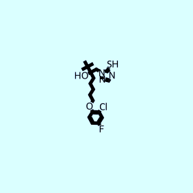 CC(C)(C)C(O)(CCCCCOc1ccc(F)cc1Cl)Cn1ncnc1S